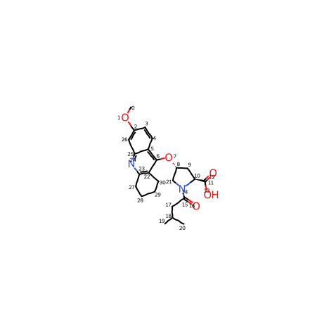 COc1ccc2c(O[C@@H]3C[C@@H](C(=O)O)N(C(=O)CC(C)C)C3)c3c(nc2c1)CCCC3